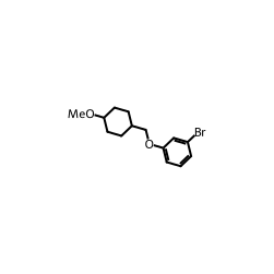 COC1CCC(COc2cccc(Br)c2)CC1